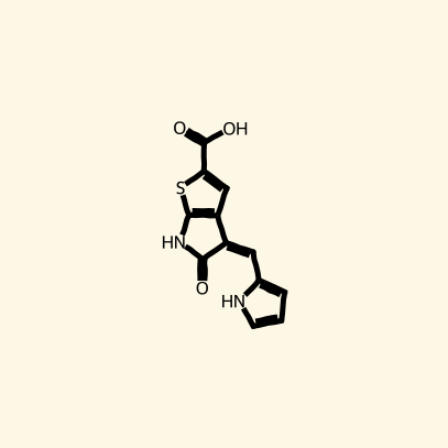 O=C1Nc2sc(C(=O)O)cc2/C1=C/c1ccc[nH]1